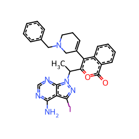 CC(c1oc(=O)c2ccccc2c1C1=CCCN(Cc2ccccc2)C1)n1nc(I)c2c(N)ncnc21